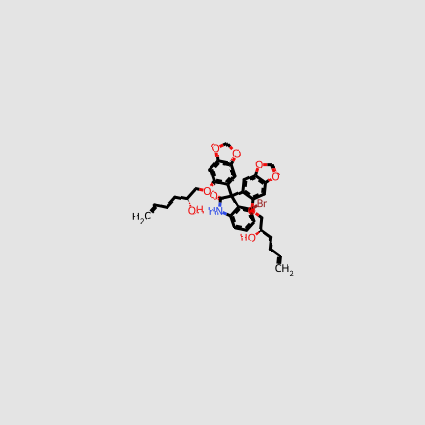 C=CCC[C@@H](O)COc1cc2c(cc1C1(c3cc4c(cc3OC[C@H](O)CCC=C)OCO4)C(=O)Nc3cccc(Br)c31)OCO2